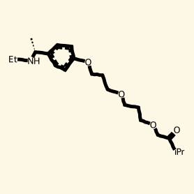 CCN[C@H](C)c1ccc(OCCCOCCCOCC(=O)C(C)C)cc1